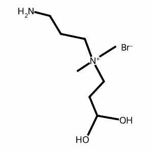 C[N+](C)(CCCN)CCC(O)O.[Br-]